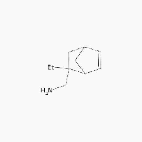 CCC1(CN)CC2C=CC1C2